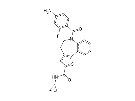 Nc1ccc(C(=O)N2CCc3cc(C(=O)NC4CC4)sc3-c3ccccc32)c(F)c1